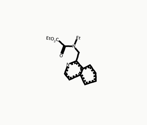 CCOC(=O)C(=O)N(CC)Cc1nccc2ccccc12